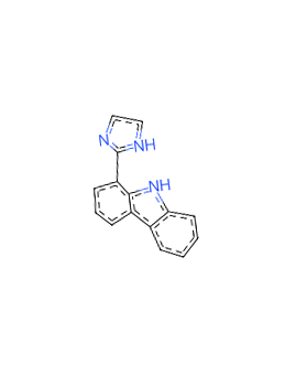 c1ccc2c(c1)[nH]c1c(-c3ncc[nH]3)cccc12